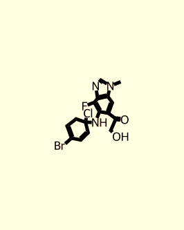 Cn1cnc2c(F)c(NC3(Cl)C=CC(Br)=CC3)c(C(=O)CO)cc21